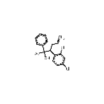 C=CCC(c1ccc(Cl)cc1Cl)C(O)(C(C)=O)c1cccnc1